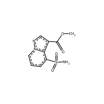 COC(=O)c1cnn2cccc(S(N)(=O)=O)c12